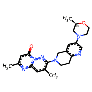 Cc1cc(=O)n2nc(N3CCc4ncc(N5CCO[C@H](C)C5)cc4C3)c(C)cc2n1